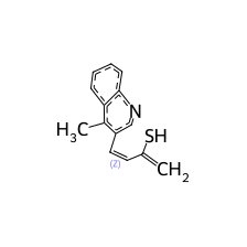 C=C(S)/C=C\c1cnc2ccccc2c1C